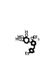 CCc1ccc(Cc2ccc(OC(F)(F)F)c([C@@H]3CC[C@H](CO)[C@@H](O)[C@H](O)C3)c2)cc1